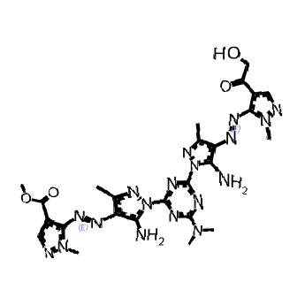 COC(=O)c1cnn(C)c1/N=N/c1c(C)nn(-c2nc(N(C)C)nc(-n3nc(C)c(/N=N/c4c(C(=O)CO)cnn4C)c3N)n2)c1N